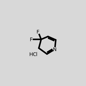 Cl.FC1(F)C=CN=CC1